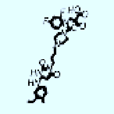 CCc1cc(Nc2cc(=O)n(CCCCN3CCN(c4cc(=O)c(C(=O)O)cn4-c4ccc(F)cc4F)CC3)c(=O)[nH]2)ccc1C